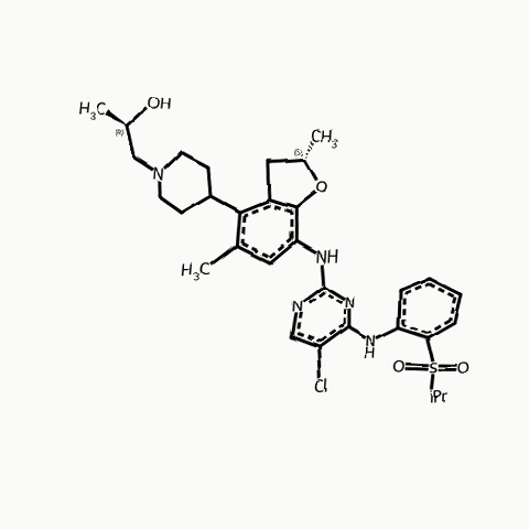 Cc1cc(Nc2ncc(Cl)c(Nc3ccccc3S(=O)(=O)C(C)C)n2)c2c(c1C1CCN(C[C@@H](C)O)CC1)C[C@H](C)O2